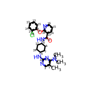 Cc1cnc(N[C@H]2CC[C@@H](NC(=O)c3cccnc3Oc3ccccc3Cl)CC2)nc1N(C)C